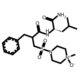 CC(C)C[C@H](NC(=O)C(Cc1ccccc1)CS(=O)(=O)N1CC[N+](C)([O-])CC1)C(N)=O